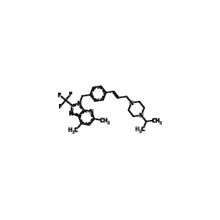 Cc1cc(C)c2nc(C(F)(F)F)n(Cc3ccc(C=CCN4CCN(C(C)C)CC4)cc3)c2n1